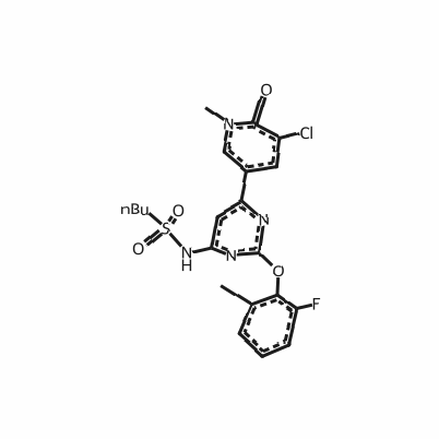 CCCCS(=O)(=O)Nc1cc(-c2cc(Cl)c(=O)n(C)c2)nc(Oc2c(C)cccc2F)n1